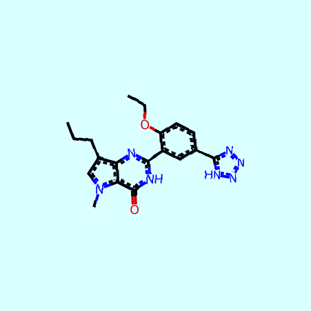 CCCc1cn(C)c2c(=O)[nH]c(-c3cc(-c4nnn[nH]4)ccc3OCC)nc12